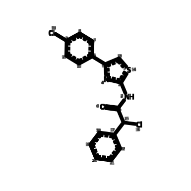 O=C(Nc1nc(-c2ccc(Cl)cc2)cs1)C(Cl)c1ccccc1